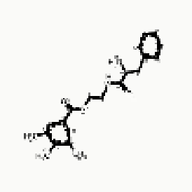 Cc1cc(C(=O)NCCNC(=O)[C@@H](N)Cc2ccccc2)cc(C)c1C